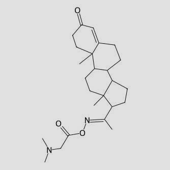 CC(=NOC(=O)CN(C)C)C1CCC2C3CCC4=CC(=O)CCC4(C)C3CCC12C